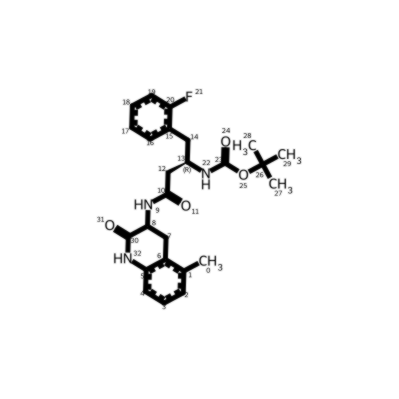 Cc1cccc2c1CC(NC(=O)C[C@@H](Cc1ccccc1F)NC(=O)OC(C)(C)C)C(=O)N2